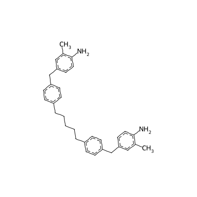 Cc1cc(Cc2ccc(CCCCCc3ccc(Cc4ccc(N)c(C)c4)cc3)cc2)ccc1N